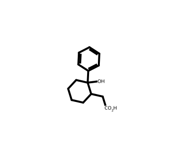 O=C(O)CC1CCCCC1(O)c1ccccc1